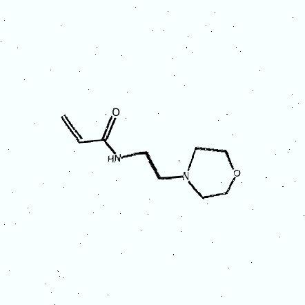 C=CC(=O)NCCN1CCOCC1